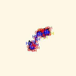 CC(C)C[C@H](NC(=O)CNC(=O)[C@H](CO)NC(=O)[C@H](CO)NC(=O)[C@H](CO)NC(=O)CNC(=O)CNC(=O)CNC(=O)CNC(=O)CNC(=O)[C@H](CS)NC(=O)[C@@H](NC(=O)[C@H](CC(C)C)NC(=O)[C@H](CS)NC(=O)[C@H](CO)NC(=O)[C@H](CC(=O)O)NC(=O)[C@@H](NC(=O)[C@@H](NC(=O)[C@H](CS)NC(=O)[C@H](C)N)[C@@H](C)O)C(C)C)[C@@H](C)O)C(=O)NCC(=O)O